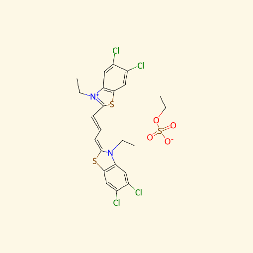 CCN1C(=CC=Cc2sc3cc(Cl)c(Cl)cc3[n+]2CC)Sc2cc(Cl)c(Cl)cc21.CCOS(=O)(=O)[O-]